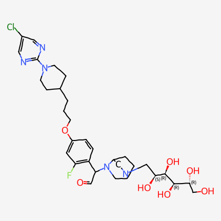 O=CC(c1ccc(OCCCC2CCN(c3ncc(Cl)cn3)CC2)cc1F)N1CC2CCC1CN2C[C@H](O)[C@@H](O)[C@H](O)[C@H](O)CO